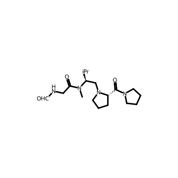 CC(C)[C@@H](CN1CCC[C@H]1C(=O)N1CCCC1)N(C)C(=O)CNC=O